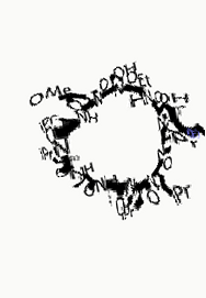 C/C=C/C[C@@H](C)[C@@H](O)[C@H]1C(=O)N[C@H](CC)C(=O)N(C)[C@H](CO)C(=O)N(C)[C@@H](CC(C)(C)OC)C(=O)N[C@H](C(C)C)C(=O)N(C)[C@H](CC(C)C)C(=O)N[C@H](C)C(=O)N[C@@H](C)C(=O)N(C)[C@H](CC(C)C)C(=O)N(C)[C@H](CCC(C)C)C(=O)N(C)[C@H](C(C)C)C(=O)N1C